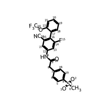 CS(=O)(=O)c1ccc(CC(=O)Nc2cc(F)c(-c3ccccc3OC(F)(F)F)c(C#N)c2)cc1